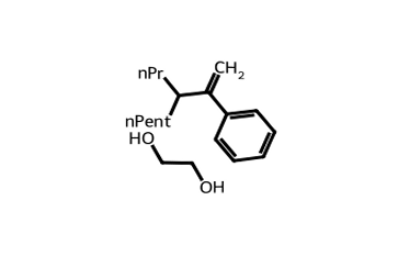 C=C(c1ccccc1)C(CCC)CCCCC.OCCO